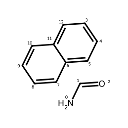 NC=O.c1ccc2ccccc2c1